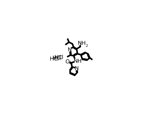 Cc1ccc(-c2c(CN)c(CC(C)C)nc(C)c2NC(=O)c2ccccn2)cc1.Cl.Cl.Cl